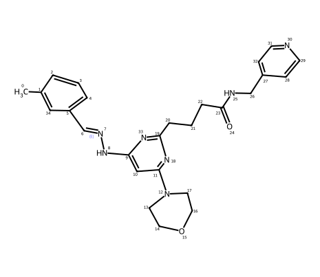 Cc1cccc(/C=N/Nc2cc(N3CCOCC3)nc(CCCC(=O)NCc3ccncc3)n2)c1